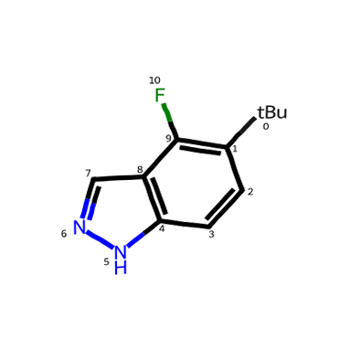 CC(C)(C)c1ccc2[nH]ncc2c1F